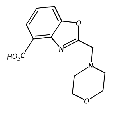 O=C(O)c1cccc2oc(CN3CCOCC3)nc12